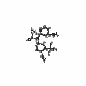 CC(=O)N(c1ccc(C#N)c(C(F)(F)F)c1)c1cc(N)ccn1